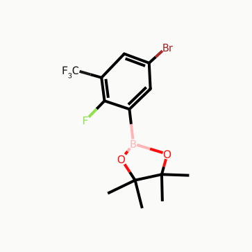 CC1(C)OB(c2cc(Br)cc(C(F)(F)F)c2F)OC1(C)C